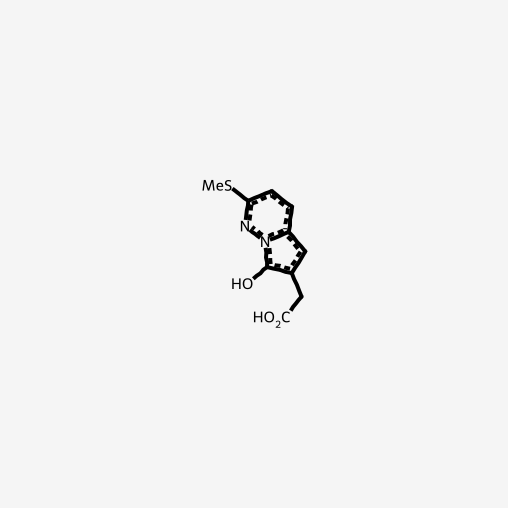 [CH2]Sc1ccc2cc(CC(=O)O)c(O)n2n1